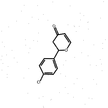 O=C1C=COC(c2ccc(Cl)cc2)C1